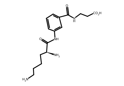 NCCCC[C@H](N)C(=O)Nc1cccc(C(=O)NCCC(=O)O)c1